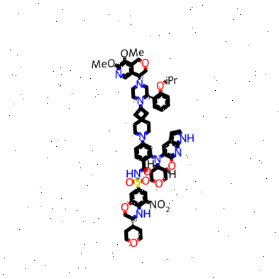 COc1ncc2c(c1OC)COC[C@H]2N1CCN(C2CC3(CCN(c4ccc(C(=O)NS(=O)(=O)c5cc6c(c([N+](=O)[O-])c5)N[C@H](C5CCOCC5)CO6)c(N5c6cc7cc[nH]c7nc6O[C@H]6COCC[C@@H]65)c4)CC3)C2)[C@H](c2ccccc2OC(C)C)C1